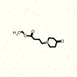 CCOC(=O)CCCN1CCC(=O)CC1